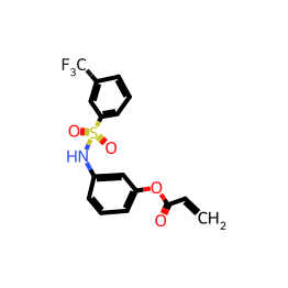 C=CC(=O)Oc1cccc(NS(=O)(=O)c2cccc(C(F)(F)F)c2)c1